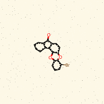 O=c1c2ccccc2c2c1ccc1oc3c(Br)cccc3oc12